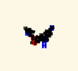 COc1cc2c(cc1OCCn1nc(C)cc1C)Cc1c(-c3ccc(C#N)cc3)n[nH]c1-2